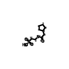 O=C(CC1CCCC1)SCCS(=O)(=O)O